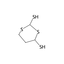 SC1CCSC(S)S1